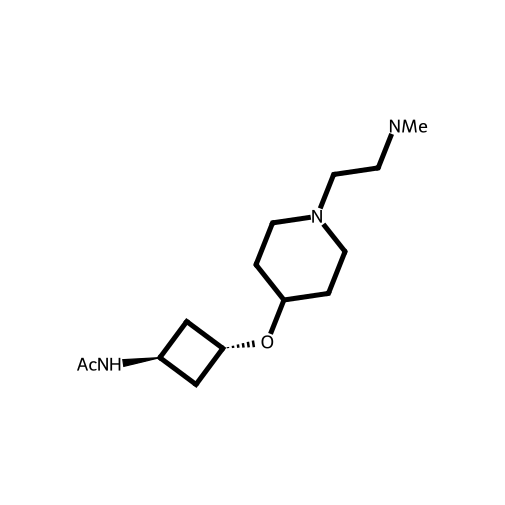 CNCCN1CCC(O[C@H]2C[C@H](NC(C)=O)C2)CC1